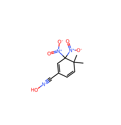 CC1(C)C=CC(C#[N+]O)=CC1([N+](=O)[O-])[N+](=O)[O-]